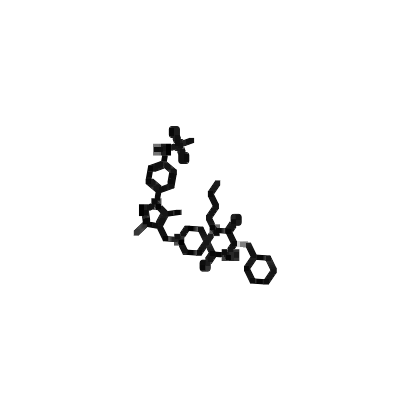 CCCCN1C(=O)[C@H](CC2CCCCC2)NC(=O)C12CCN(Cc1c(C)nn(-c3ccc(NS(C)(=O)=O)cc3)c1C)CC2